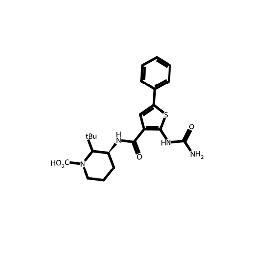 CC(C)(C)C1[C@@H](NC(=O)c2cc(-c3ccccc3)sc2NC(N)=O)CCCN1C(=O)O